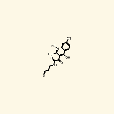 CC(=NC#N)/C(C(=O)C(=O)NCCC=S)=C(/O)c1ccc(C#N)cc1